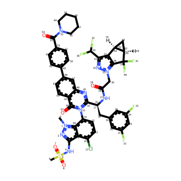 Cn1nc(NS(C)(=O)=O)c2c(Cl)ccc(-n3c([C@H](Cc4cc(F)cc(F)c4)NC(=O)Cn4nc(C(F)F)c5c4C(F)(F)[C@@H]4C[C@H]54)nc4cc(-c5ccc(C(=O)N6CCCCC6)cc5)ccc4c3=O)c21